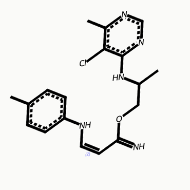 Cc1ccc(N/C=C\C(=N)OCC(C)Nc2ncnc(C)c2Cl)cc1